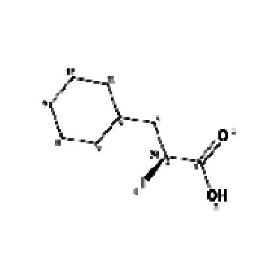 O=C(O)[C@@H](I)CC1CCCCC1